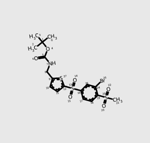 CC(C)(C)OC(=O)NCc1ccc(S(=O)(=O)c2ccc(S(C)(=O)=O)c(Br)c2)s1